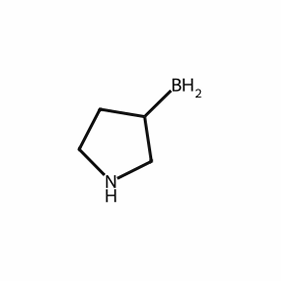 BC1CCNC1